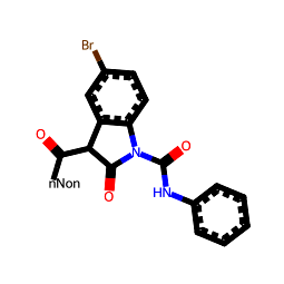 CCCCCCCCCC(=O)C1C(=O)N(C(=O)Nc2ccccc2)c2ccc(Br)cc21